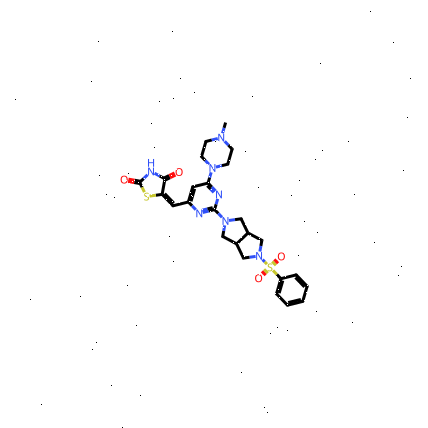 CN1CCN(c2cc(/C=C3/SC(=O)NC3=O)nc(N3CC4CN(S(=O)(=O)c5ccccc5)CC4C3)n2)CC1